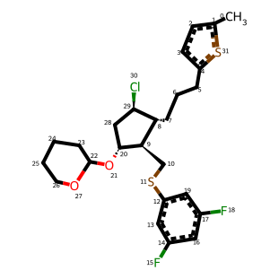 Cc1ccc(CCC[C@@H]2[C@@H](CSc3cc(F)cc(F)c3)[C@H](OC3CCCCO3)C[C@H]2Cl)s1